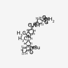 Cc1c(C)n(Cc2ccc(-c3ccccc3C(=O)OC(C)(C)C)cc2)c2ccc(C(=O)NCc3ccc(S(N)(=O)=O)cc3)cc12